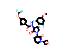 COc1cc(F)c([C@@H]2CN(c3cccn(C4COC4)c3=O)C(=O)C2NC(=O)c2ccc(OC(F)F)cc2)c(F)c1